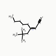 CCCCC/C(=C\C#N)CC(C)(C)C